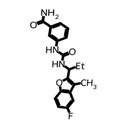 CCC(NC(=O)Nc1cccc(C(N)=O)c1)c1oc2ccc(F)cc2c1C